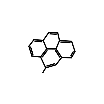 Cc1cc2cccc3c[c]c4cccc1c4c32